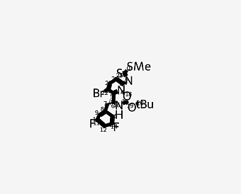 CSc1nc2nc([C@H](Cc3cc(F)cc(F)c3)NC(=O)OC(C)(C)C)c(Br)cc2s1